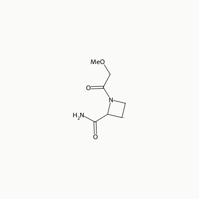 COCC(=O)N1C[CH]C1C(N)=O